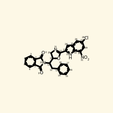 O=C1c2ccccc2C(=O)N1C(Cc1ccccc1)C1CN=C(c2cc3cc(Cl)cc([N+](=O)[O-])c3[nH]2)O1